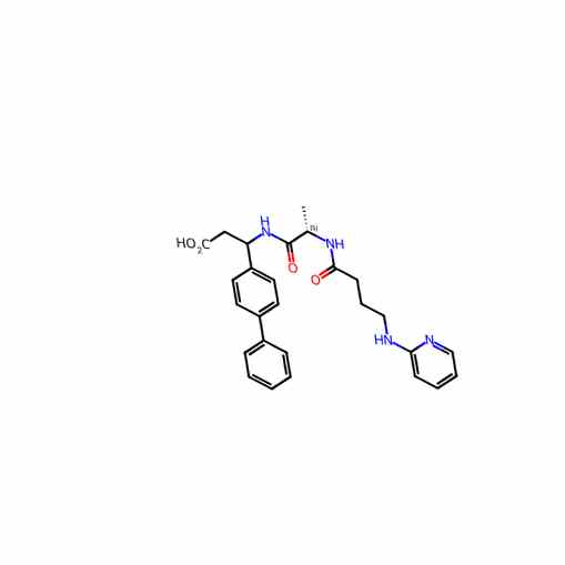 C[C@H](NC(=O)CCCNc1ccccn1)C(=O)NC(CC(=O)O)c1ccc(-c2ccccc2)cc1